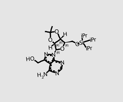 CC(C)[Si](OC[C@H]1O[C@@H](n2nc(CO)c3c(N)ncnc32)[C@@H]2OC(C)(C)O[C@@H]21)(C(C)C)C(C)C